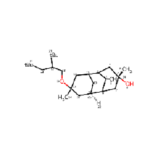 CC1C2C[C@](C)(O)CC1[C@@H]1CC2CC(C)(OCC(CC(C)(C)C)C(C)(C)C)C1